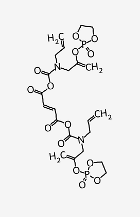 C=CCN(CC(=C)OP1(=O)OCCO1)C(=O)OC(=O)/C=C/C(=O)OC(=O)N(CC=C)CC(=C)OP1(=O)OCCO1